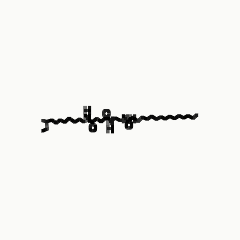 CCCCCCCCCCCCCCCC(=O)NCCNC(=O)CCC(=O)NCCCCCCCCC(C)CC